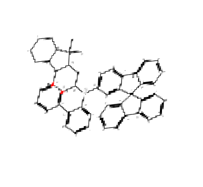 CC1(C)C2CCCCC2C2CCC(N(c3ccc4c(c3)C3(c5ccccc5-c5ccccc53)c3ccccc3-4)c3ccccc3-c3ccccc3)CC21